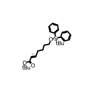 CC(C)(C)OC(=O)/C=C/CCCCO[Si](c1ccccc1)(c1ccccc1)C(C)(C)C